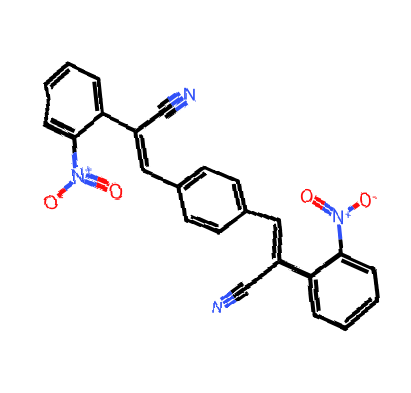 N#CC(=Cc1ccc(C=C(C#N)c2ccccc2[N+](=O)[O-])cc1)c1ccccc1[N+](=O)[O-]